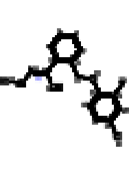 CCO/N=C(\C#N)c1ccccc1COc1ccc(Cl)cc1C